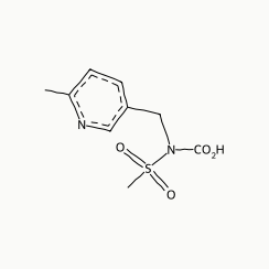 Cc1ccc(CN(C(=O)O)S(C)(=O)=O)cn1